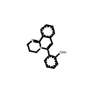 COc1ccccc1C1=Cc2ccccc2C2=NCCCN12